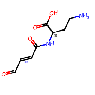 NCC[C@@H](NC(=O)/C=C/C=O)C(=O)O